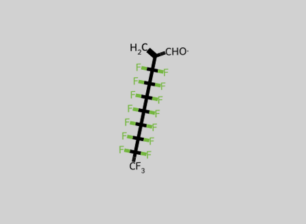 C=C([C]=O)C(F)(F)C(F)(F)C(F)(F)C(F)(F)C(F)(F)C(F)(F)C(F)(F)C(F)(F)F